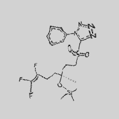 C[C@](CCC(F)=C(F)F)(CCS(=O)(=O)c1nnnn1-c1ccccc1)O[Si](C)(C)C